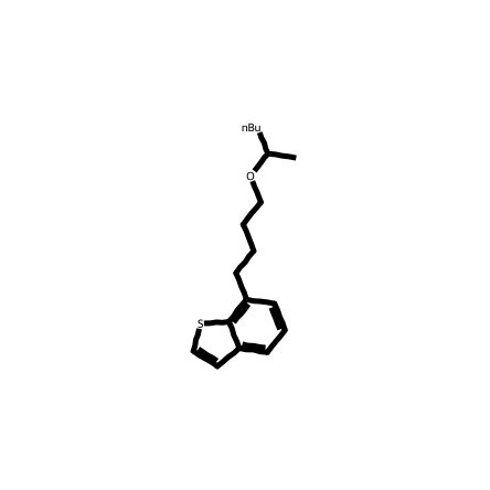 [CH2]CCCC(C)OCCCCc1cccc2ccsc12